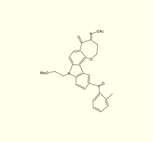 COCCn1c2ccc(C(=O)c3ccccc3C)cc2c2c3c(ccc21)C(=O)/C(=N/OC(C)=O)CCO3